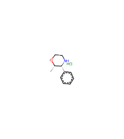 C[C@@H]1OCCN[C@@H]1c1ccccc1.Cl